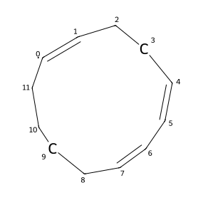 [C]1=CCCC=CC=CCCCC1